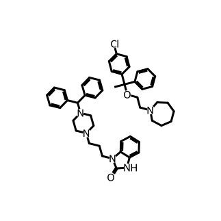 CC(OCCN1CCCCCC1)(c1ccccc1)c1ccc(Cl)cc1.O=c1[nH]c2ccccc2n1CCCN1CCN(C(c2ccccc2)c2ccccc2)CC1